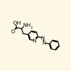 NC(Cc1ccc(/N=N/c2ccccc2)nc1)C(=O)O